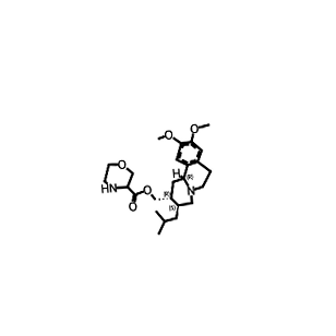 COc1cc2c(cc1OC)[C@H]1C[C@@H](COC(=O)C3COCCN3)[C@H](CC(C)C)CN1CC2